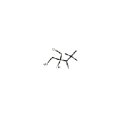 CC(C(C)(C)C)C(O)(CO)CCl